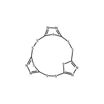 n1nc2sc1SSc1nnc(s1)SSc1nnc(s1)SS2